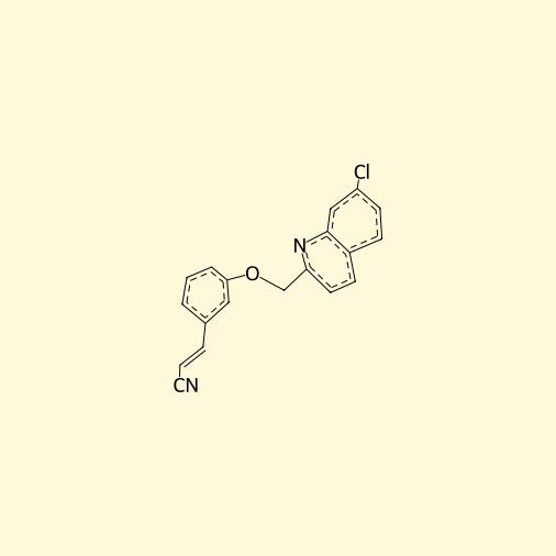 N#CC=Cc1cccc(OCc2ccc3ccc(Cl)cc3n2)c1